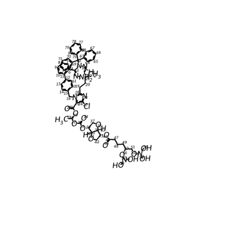 C=NN(/C(=N\N)c1ccccc1-c1ccc(Cn2c(CCCC)nc(Cl)c2C(=O)OC(C)OC(=O)O[C@@H]2CO[C@H]3[C@@H]2OC[C@H]3OC(=O)CCCC(CON(O)O)ON(O)O)cc1)C(c1ccccc1)(c1ccccc1)c1ccccc1